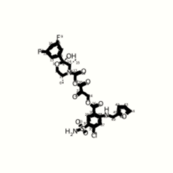 C[C@@H]1CO[C@@](O)(c2cc(F)cc(F)c2)[C@H](C)N1C(=O)OC(=O)C(=O)COC(=O)c1cc(S(N)(=O)=O)c(Cl)cc1NCc1ccco1